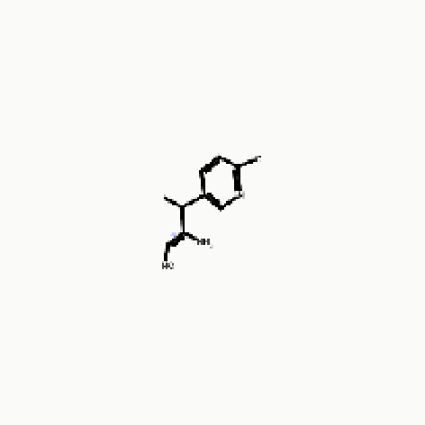 CC(/C(N)=C/N=O)c1ccc(Cl)nc1